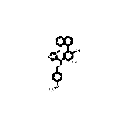 Cl.Cn1cncc1C(OCc1ccc(OC(F)(F)F)cc1)c1ccc(C#N)c(-c2cccc3ccccc23)c1